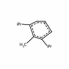 Cc1c(C(C)C)cccc1C(C)C